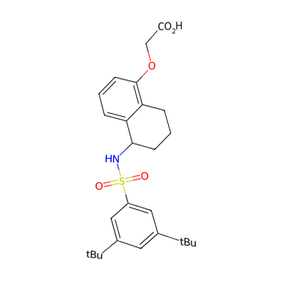 CC(C)(C)c1cc(C(C)(C)C)cc(S(=O)(=O)NC2CCCc3c(OCC(=O)O)cccc32)c1